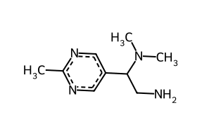 Cc1ncc(C(CN)N(C)C)cn1